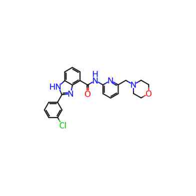 O=C(Nc1cccc(CN2CCOCC2)n1)c1cccc2[nH]c(-c3cccc(Cl)c3)nc12